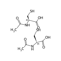 CC(=O)N[C@@H](CS)C(=O)O.CC(=O)N[C@@H](CS)C(=O)O